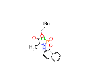 CC(NP(=O)(Cl)Oc1cccc2ccccc12)C(=O)OCCC(C)(C)C